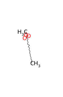 CCCCCCCCCCCCCCCCCC(=O)C(=O)OCC